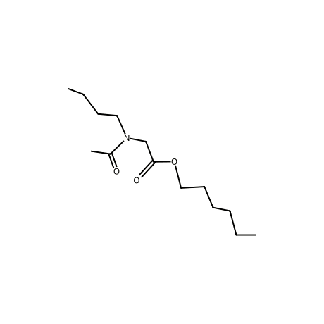 CCCCCCOC(=O)CN(CCCC)C(C)=O